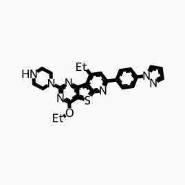 CCOc1nc(N2CCNCC2)nc2c1sc1nc(-c3ccc(-n4cccn4)cc3)cc(CC)c12